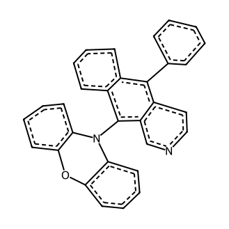 c1ccc(-c2c3ccccc3c(N3c4ccccc4Oc4ccccc43)c3cnccc23)cc1